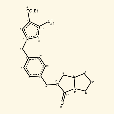 CCOC(=O)c1cn(Cc2ccc(CN3CC4CCCN4C3=O)cc2)nc1C(F)(F)F